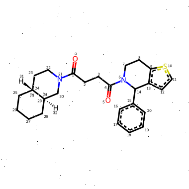 O=C(CCC(=O)N1CCc2sccc2C1c1ccccc1)N1CC[C@H]2CCCC[C@@H]2C1